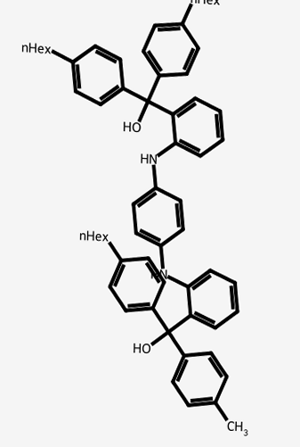 CCCCCCc1ccc(C(O)(c2ccc(C)cc2)c2ccccc2Nc2ccc(Nc3ccccc3C(O)(c3ccc(CCCCCC)cc3)c3ccc(CCCCCC)cc3)cc2)cc1